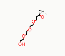 CC(=O)CCOCCOCCOCCO